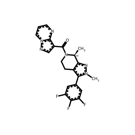 C[C@H]1c2nn(C)c(-c3cc(F)c(F)c(F)c3)c2CCN1C(=O)c1cnn2cccnc12